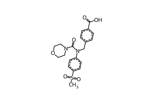 CS(=O)(=O)c1ccc(N(Cc2ccc(C(=O)O)cc2)C(=O)N2CCOCC2)cc1